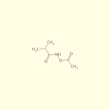 CC(=O)ONC(=O)C(C)C